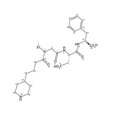 CCN(CC(=O)N[C@@H](CC(=O)O)C(=O)N[C@@H](Cc1ccccc1)C(=O)O)C(=O)CCCC1CCNCC1